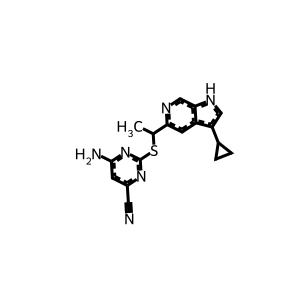 CC(Sc1nc(N)cc(C#N)n1)c1cc2c(C3CC3)c[nH]c2cn1